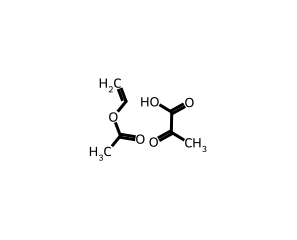 C=COC(C)=O.CC(=O)C(=O)O